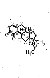 CCC[C@@]1(C)CC[C@H]2[C@@H]3CCC4=CCC(=O)C(=O)C4=C3CC[C@@]21C